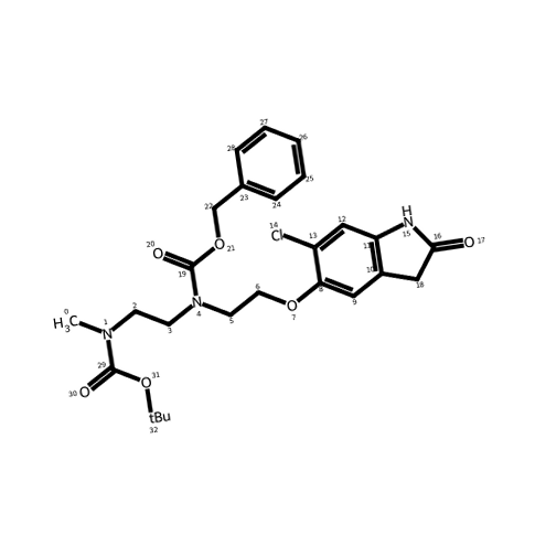 CN(CCN(CCOc1cc2c(cc1Cl)NC(=O)C2)C(=O)OCc1ccccc1)C(=O)OC(C)(C)C